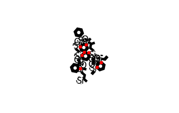 C=C[Si](C)(C)O[Si](O[Si](C)(C)C=C)(O[Si](C)(C)CCC(C)[Si](C)(C)O[Si](O[Si](C)(C)CC[Si](C)(C)O[Si](O[Si](C)(C)CCC(C)[Si](C)(C)C)(c1ccccc1)c1ccccc1)(c1ccccc1)c1ccccc1)c1ccccc1